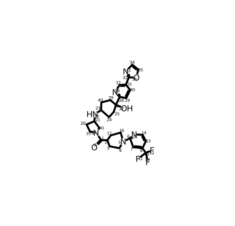 O=C(C1CCN(c2cc(C(F)(F)F)ccn2)CC1)N1CCC(NC2CCC(O)(c3ccc(-c4ncco4)cn3)CC2)C1